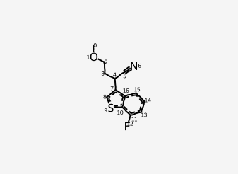 COCCC(C#N)c1csc2c(F)cccc12